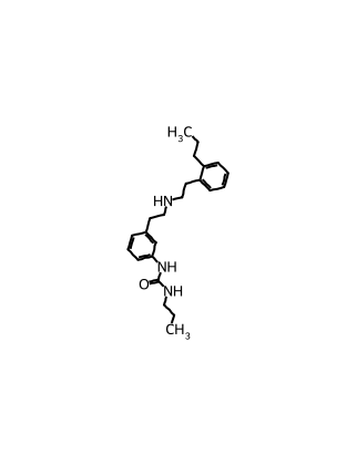 CCCNC(=O)Nc1cccc(CCNCCc2ccccc2CCC)c1